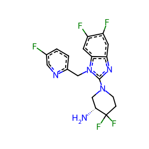 N[C@@H]1CN(c2nc3cc(F)c(F)cc3n2Cc2ccc(F)cn2)CCC1(F)F